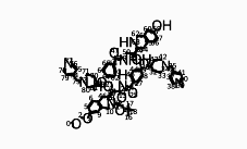 COCOc1ccc2c(c1)CN(C(=O)OC(C)(C)C)[C@H]([C@H](O)CNC(=O)c1ccc(OC3CCN(Cc4ccncc4)CC3)cc1)C2.O=C(NC[C@@H](O)[C@@H]1Cc2ccc(O)cc2CN1)c1ccc(OC2CCN(Cc3ccncc3)CC2)cc1